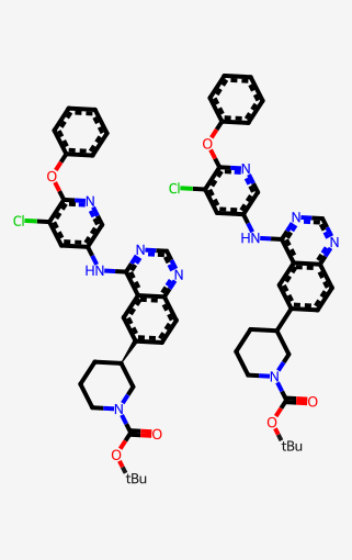 CC(C)(C)OC(=O)N1CCCC(c2ccc3ncnc(Nc4cnc(Oc5ccccc5)c(Cl)c4)c3c2)C1.CC(C)(C)OC(=O)N1CCC[C@@H](c2ccc3ncnc(Nc4cnc(Oc5ccccc5)c(Cl)c4)c3c2)C1